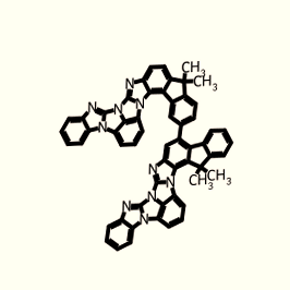 CC1(C)c2ccc(-c3cc4nc5n(c6cccc7c6n5c5nc6ccccc6n75)c4c4c3-c3ccccc3C4(C)C)cc2-c2c1ccc1nc3n(c4cccc5c4n3c3nc4ccccc4n53)c21